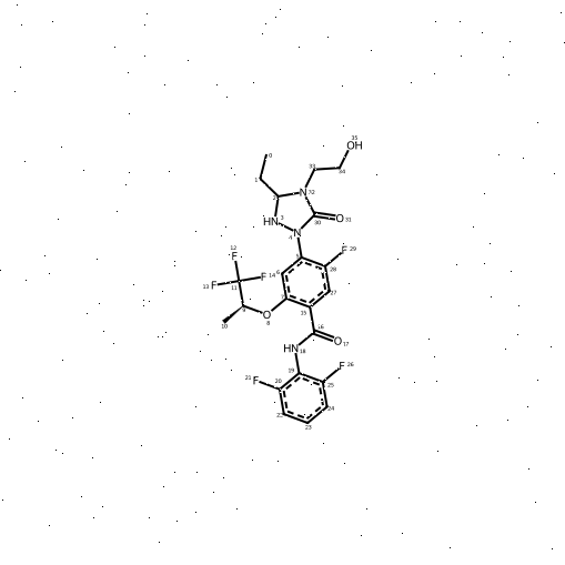 CCC1NN(c2cc(O[C@@H](C)C(F)(F)F)c(C(=O)Nc3c(F)cccc3F)cc2F)C(=O)N1CCO